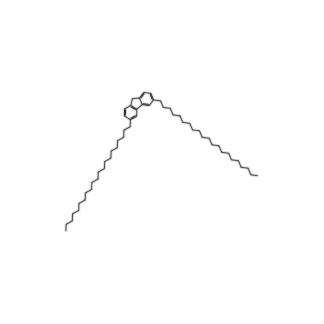 CCCCCCCCCCCCCCCCCCCCCc1ccc2c(c1)-c1cc(CCCCCCCCCCCCCCCCCCCCC)ccc1C2